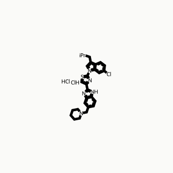 CC(C)Cc1cn(-c2nc(-c3nc4cc(CN5CCCCC5)ccc4[nH]3)cs2)c2cc(Cl)ccc12.Cl.Cl